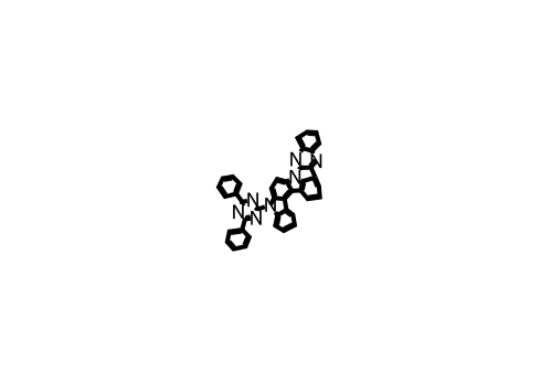 c1ccc(-c2nc(-c3ccccc3)nc(-n3c4ccccc4c4c5c6cccc7c8nc9ccccc9nc8n(c5ccc43)c76)n2)cc1